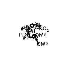 COCCCOc1cc(C[C@@H](C[C@H](N)[C@@H](O)C[C@H](C(=O)NC2CCC(OC(=O)OC(C)O[N+](=O)[O-])CC2)C(C)C)C(C)C)ccc1OC